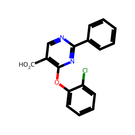 O=C(O)c1cnc(-c2ccccc2)nc1Oc1ccccc1Cl